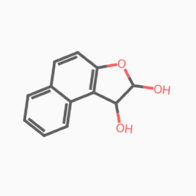 OC1Oc2ccc3ccccc3c2C1O